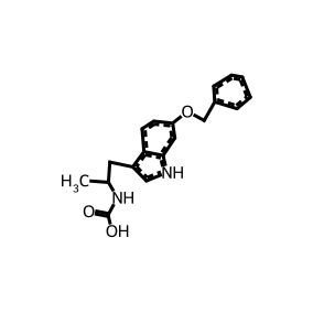 CC(Cc1c[nH]c2cc(OCc3ccccc3)ccc12)NC(=O)O